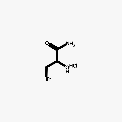 CC(C)CC(O)C(N)=O.Cl